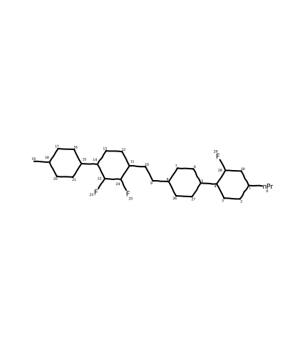 CCCC1CCC(C2CCC(CCC3CCC(C4CCC(C)CC4)C(F)C3F)CC2)C(F)C1